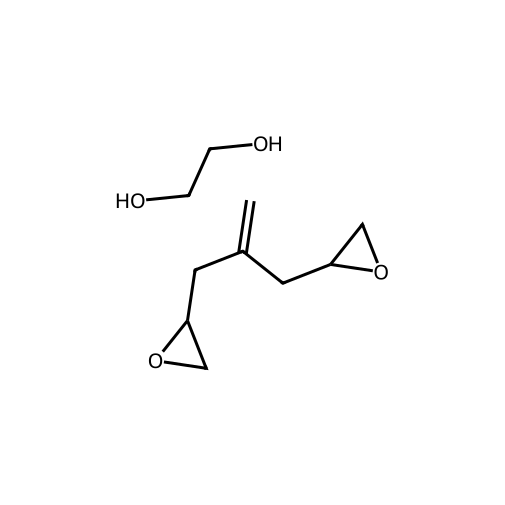 C=C(CC1CO1)CC1CO1.OCCO